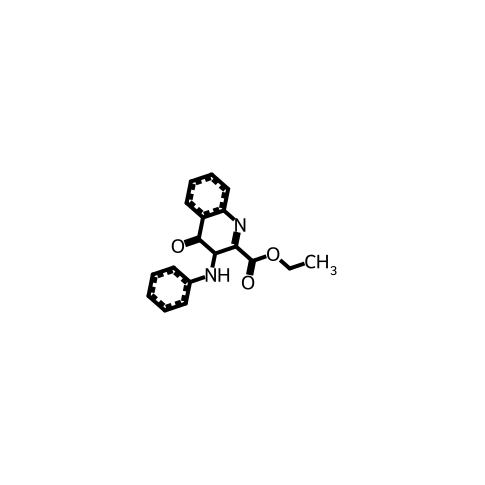 CCOC(=O)C1=Nc2ccccc2C(=O)C1Nc1ccccc1